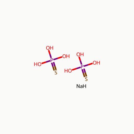 OP(O)(O)=S.OP(O)(O)=S.[NaH]